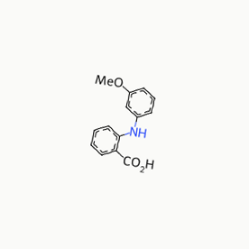 COc1cccc(Nc2ccccc2C(=O)O)c1